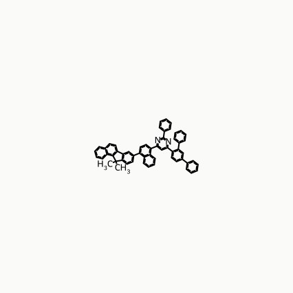 CC1(C)c2ccc(-c3ccc(-c4cc(-c5ccc(-c6ccccc6)cc5-c5ccccc5)nc(-c5ccccc5)n4)c4ccccc34)cc2-c2ccc3ccccc3c21